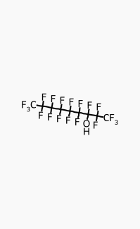 OC(F)(C(F)(F)C(F)(F)F)C(F)(F)C(F)(F)C(F)(F)C(F)(F)C(F)(F)C(F)(F)F